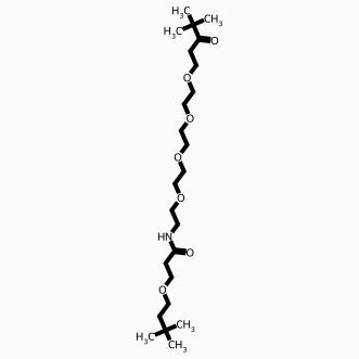 CC(C)(C)CCOCCC(=O)NCCOCCOCCOCCOCCC(=O)C(C)(C)C